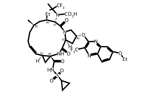 CCOc1ccc2nc(C(F)(F)F)c(O[C@@H]3C[C@H]4C(=O)N[C@]5(C(=O)NS(=O)(=O)C6CC6)C[C@H]5C=CCC[C@@H](C)C[C@@H](CC)[C@H](N(C(=O)O)C(C)(C)C(F)(F)F)C(=O)N4C3)nc2c1